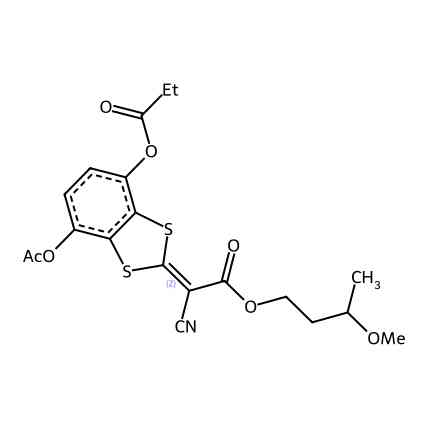 CCC(=O)Oc1ccc(OC(C)=O)c2c1S/C(=C(/C#N)C(=O)OCCC(C)OC)S2